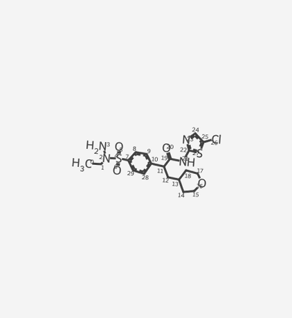 CCN(N)S(=O)(=O)c1ccc(C(CC2CCOCC2)C(=O)Nc2ncc(Cl)s2)cc1